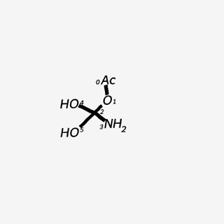 CC(=O)OC(N)(O)O